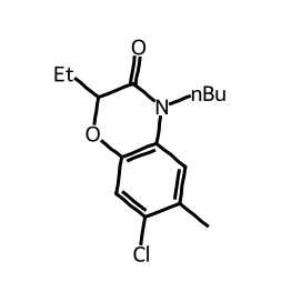 CCCCN1C(=O)C(CC)Oc2cc(Cl)c(C)cc21